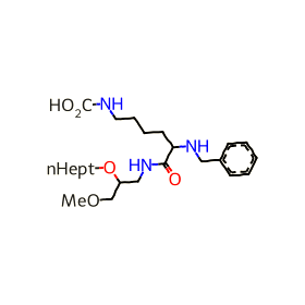 CCCCCCCOC(CNC(=O)C(CCCCNC(=O)O)NCc1ccccc1)COC